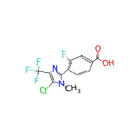 Cn1c(-c2ccc(C(=O)O)cc2F)nc(C(F)(F)F)c1Cl